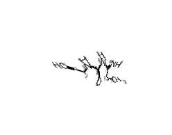 C#CCNC(=O)NC(=N)SC